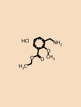 CCOC(=O)c1cccc(CN)c1OC.Cl